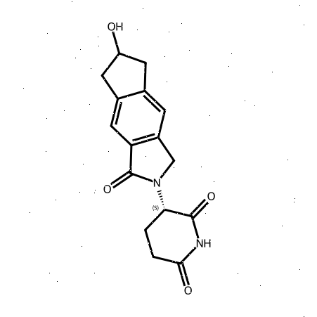 O=C1CC[C@H](N2Cc3cc4c(cc3C2=O)CC(O)C4)C(=O)N1